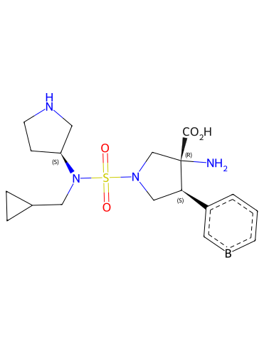 N[C@@]1(C(=O)O)CN(S(=O)(=O)N(CC2CC2)[C@H]2CCNC2)C[C@@H]1c1cbccc1